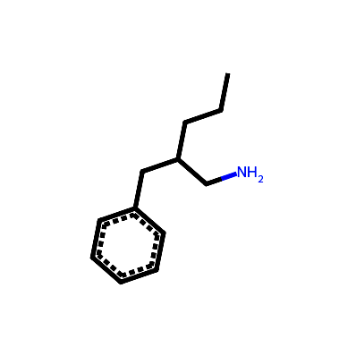 CCCC(CN)Cc1ccccc1